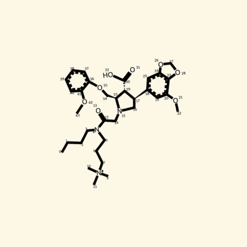 CCCCN(CCC[N+](C)(C)C)C(=O)CN1C[C@H](c2cc(OC)c3c(c2)OCO3)[C@@H](C(=O)O)[C@@H]1COc1ccccc1OC